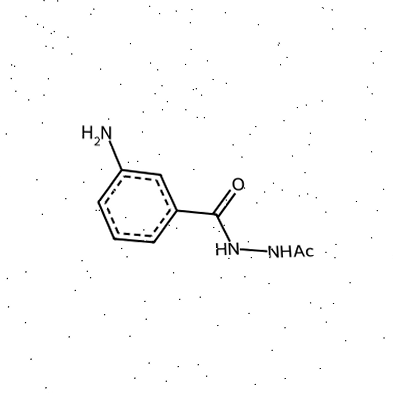 CC(=O)NNC(=O)c1cccc(N)c1